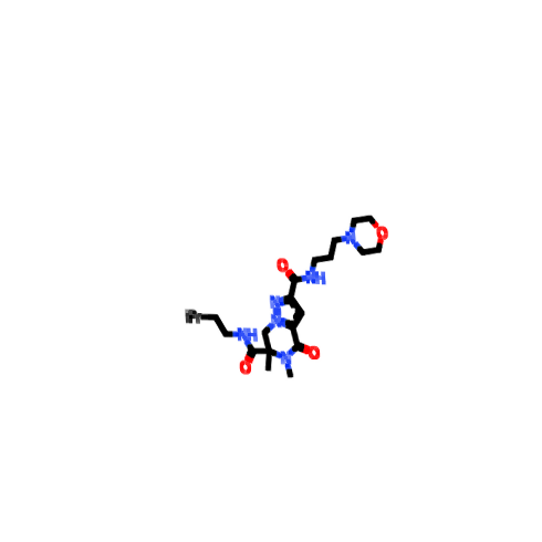 CC(C)CCNC(=O)C1(C)Cn2nc(C(=O)NCCCN3CCOCC3)cc2C(=O)N1C